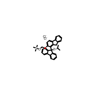 C[C](C)=[Zr+2][C]1(c2c(OCO[Si](C)(C)C)ccc3c2Cc2ccccc2-3)c2ccccc2-c2ccccc21.[Cl-].[Cl-]